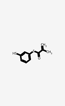 C=C(C)C(=O)Sc1cccc(S)c1